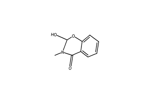 CN1C(=O)c2ccccc2OC1O